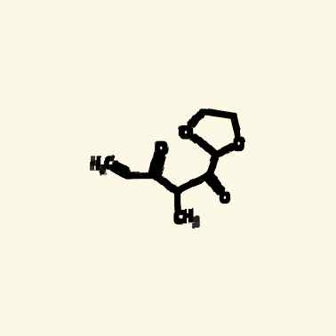 C=CC(=O)C(C)C(=O)C1OCCO1